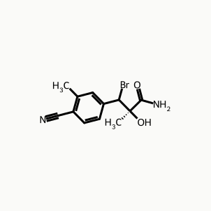 Cc1cc(C(Br)[C@](C)(O)C(N)=O)ccc1C#N